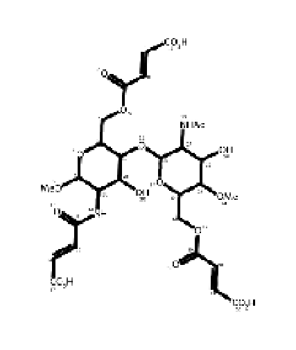 COC1OC(COC(=O)/C=C/C(=O)O)C(OC2OC(COC(=O)/C=C/C(=O)O)C(OC)C(O)C2NC(C)=O)C(O)C1NC(=O)/C=C/C(=O)O